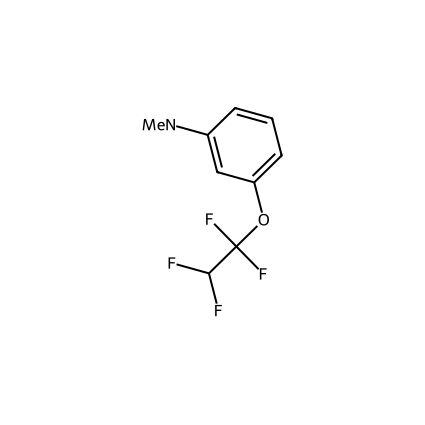 CNc1cccc(OC(F)(F)C(F)F)c1